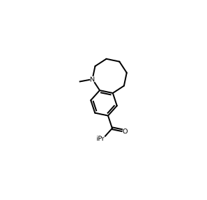 CC(C)C(=O)c1ccc2c(c1)CCCCCN2C